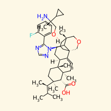 CC(C)[C@@H](C)[C@@]1(C)CC[C@]2(C)[C@H]3CC[C@@H]4[C@@]5(COC[C@@]4(C)[C@@H](OC[C@](C)(N)C4CC4)[C@H](n4ncnc4-c4ccccc4F)C5)C3=CC[C@@]2(C)[C@@H]1C(=O)O